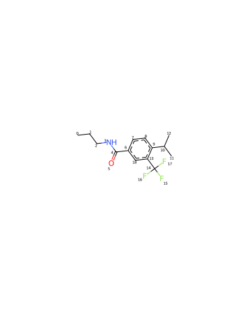 CCCNC(=O)c1ccc(C(C)C)c(C(F)(F)F)c1